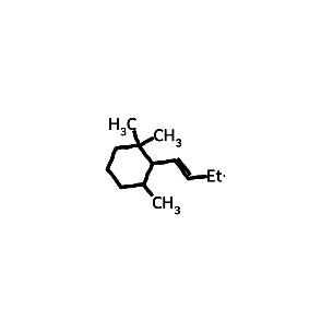 C[CH]C=CC1C(C)CCCC1(C)C